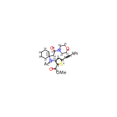 COC(=O)c1sc(C#CC(C)C)cc1N(C(C)=O)C1(CC(=O)N2CCOCC2)CCCCC1